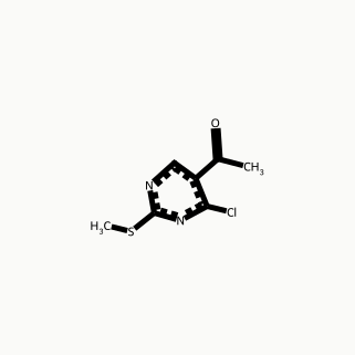 CSc1ncc(C(C)=O)c(Cl)n1